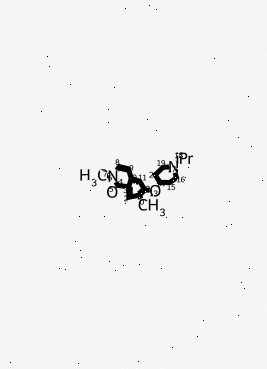 Cc1cc2c(=O)n(C)ccc2cc1OC1CCN(C(C)C)CC1